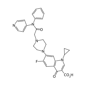 O=C(O)c1cn(C2CC2)c2cc(N3CCN(CC(=O)N(c4ccccc4)c4ccncc4)CC3)c(F)cc2c1=O